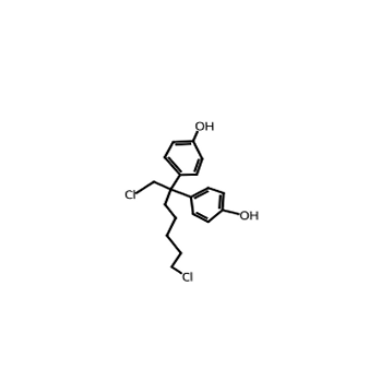 Oc1ccc(C(CCl)(CCCCCCl)c2ccc(O)cc2)cc1